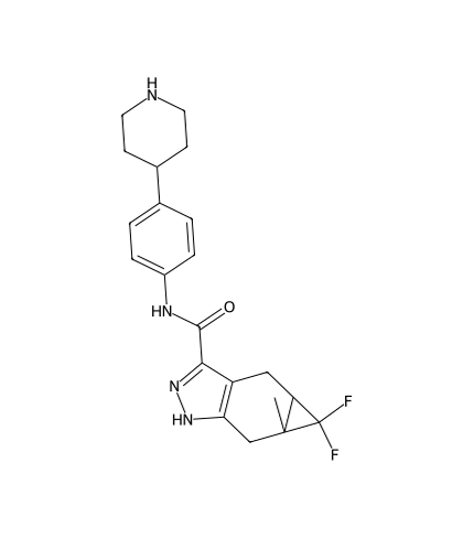 CC12Cc3[nH]nc(C(=O)Nc4ccc(C5CCNCC5)cc4)c3CC1C2(F)F